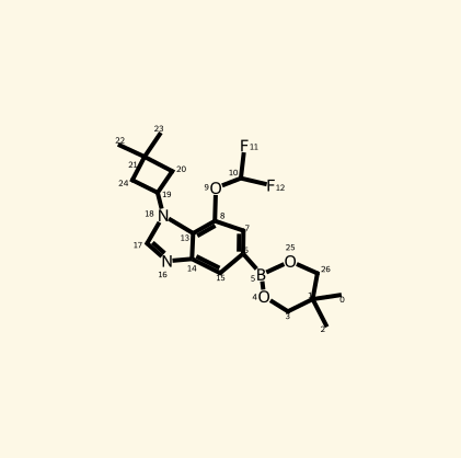 CC1(C)COB(c2cc(OC(F)F)c3c(c2)ncn3C2CC(C)(C)C2)OC1